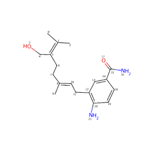 CC(C)=C(CO)CC/C(C)=C/Cc1cc(C(N)=O)ccc1N